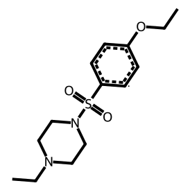 CCOc1c[c]c(S(=O)(=O)N2CCN(CC)CC2)cc1